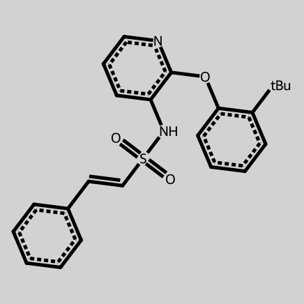 CC(C)(C)c1ccccc1Oc1ncccc1NS(=O)(=O)C=Cc1ccccc1